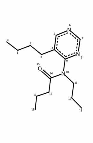 CCCCc1cncnc1N(CCC)C(=O)CCC